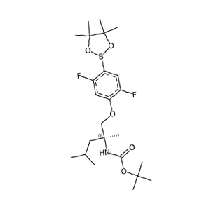 CC(C)C[C@@](C)(COc1cc(F)c(B2OC(C)(C)C(C)(C)O2)cc1F)NC(=O)OC(C)(C)C